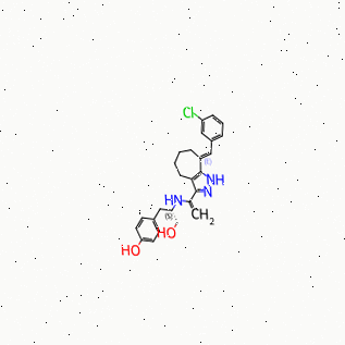 C=C(N[C@H](CO)Cc1ccc(O)cc1)c1n[nH]c2c1CCCC/C2=C\c1cccc(Cl)c1